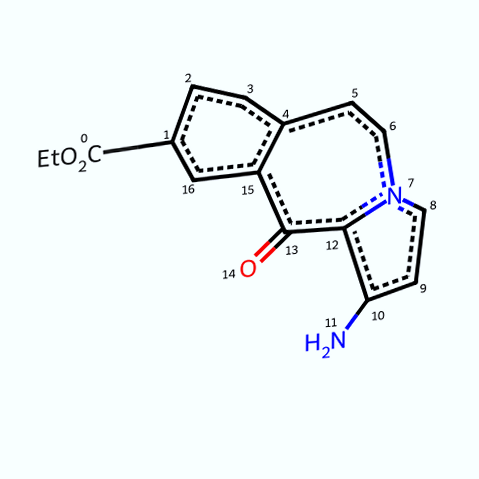 CCOC(=O)c1ccc2ccn3ccc(N)c3c(=O)c2c1